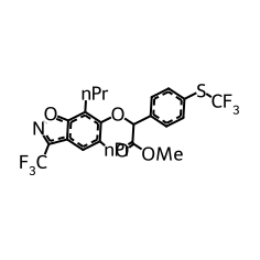 CCCc1cc2c(C(F)(F)F)noc2c(CCC)c1OC(C(=O)OC)c1ccc(SC(F)(F)F)cc1